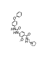 COc1cc(NC(=O)Nc2ccc(Oc3ccccc3)cc2)ccc1C(=O)NCCN1CCCC1